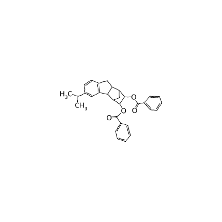 CC(C)c1ccc2c(c1)C1C(C2)C2CC1C(OC(=O)c1ccccc1)C2OC(=O)c1ccccc1